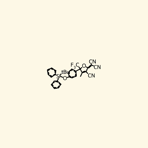 CC1=C(C#N)C(=C(C#N)C#N)OC1(c1ccc(O[Si](c2ccccc2)(c2ccccc2)C(C)(C)C)cc1)C(F)(F)F